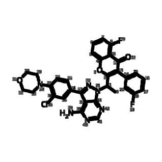 CC(c1oc2cccc(F)c2c(=O)c1-c1cccc(F)c1)n1nc(-c2ccc(N3CCOCC3)c(Cl)c2)c2c(N)ncnc21